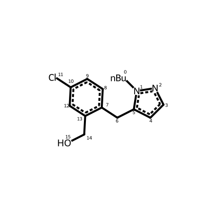 CCCCn1nccc1Cc1ccc(Cl)cc1CO